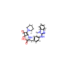 C[C@H]1CCCCN1c1c(NC(Cc2ccc(Nc3nc4ccccc4n3C)cc2)C(=O)O)c(=O)c1=O